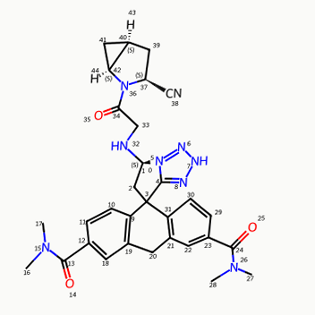 C[C@@H](CC1(c2nn[nH]n2)c2ccc(C(=O)N(C)C)cc2Cc2cc(C(=O)N(C)C)ccc21)NCC(=O)N1[C@H](C#N)C[C@@H]2C[C@@H]21